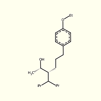 CCOc1ccc(CCC[C@H](C(C(C)C)C(C)C)[C@H](C)O)cc1